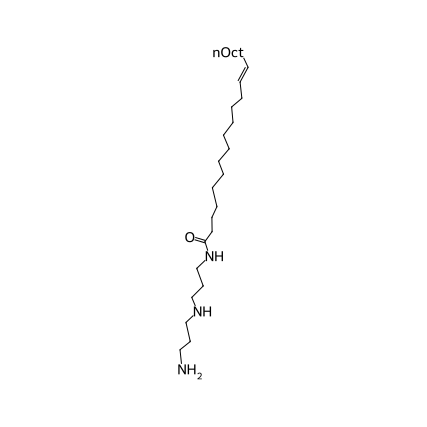 CCCCCCCCC=CCCCCCCCCCCCC(=O)NCCCNCCCN